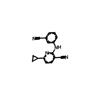 N#Cc1cccc(Nc2nc(C3CC3)ccc2C#N)c1